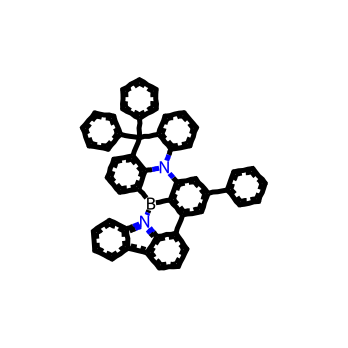 c1ccc(-c2cc3c4c(c2)N2c5ccccc5C(c5ccccc5)(c5ccccc5)c5cccc(c52)B4n2c4ccccc4c4cccc-3c42)cc1